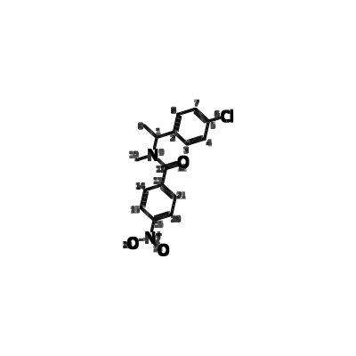 CC(c1ccc(Cl)cc1)N(C)C(=O)c1ccc([N+](=O)[O-])cc1